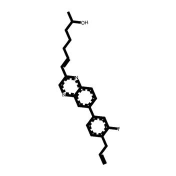 C=CCc1ccc(-c2ccc3nc(C=CCCCC(C)O)cnc3c2)cc1F